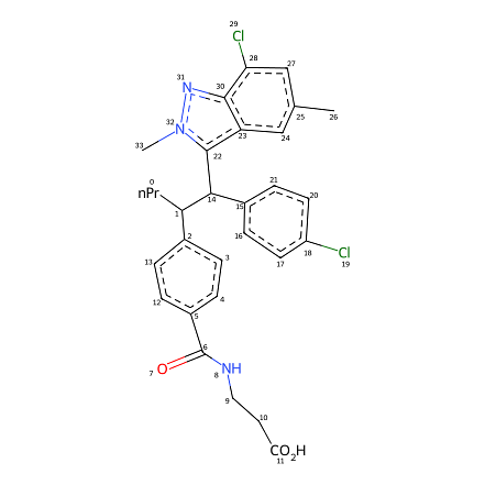 CCCC(c1ccc(C(=O)NCCC(=O)O)cc1)C(c1ccc(Cl)cc1)c1c2cc(C)cc(Cl)c2nn1C